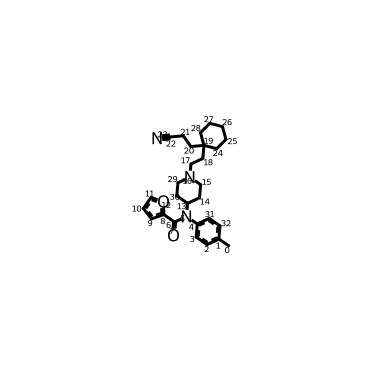 Cc1ccc(N(C(=O)c2ccco2)C2CCN(CCC3(CCC#N)CCCCC3)CC2)cc1